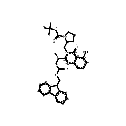 C[C@H](NC(=O)OCC1c2ccccc2-c2ccccc21)c1nc2cccc(Cl)c2c(=O)n1CC1CCCN1C(=O)OC(C)(C)C